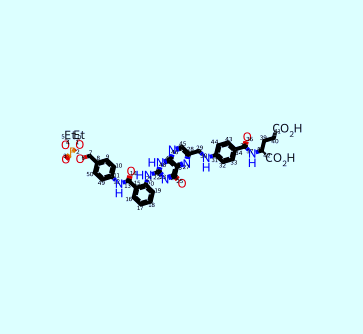 CCOP(=O)(OCC)OCc1ccc(NC(=O)c2ccccc2Nc2nc(=O)c3nc(CNc4ccc(C(=O)N[C@@H](CCC(=O)O)C(=O)O)cc4)cnc3[nH]2)cc1